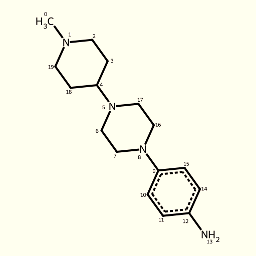 CN1CCC(N2CCN(c3ccc(N)cc3)CC2)CC1